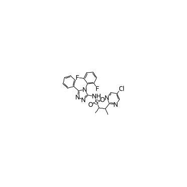 CC(c1ncc(Cl)cn1)C(C)S(=O)(=O)Nc1nnc(-c2ccccc2)n1-c1c(F)cccc1F